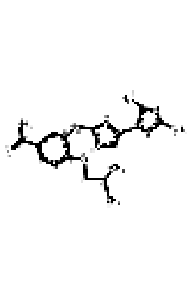 Cc1nc(C)c(-c2csc(Nc3cc(C(N)=O)ccc3OCC(C)C)n2)s1